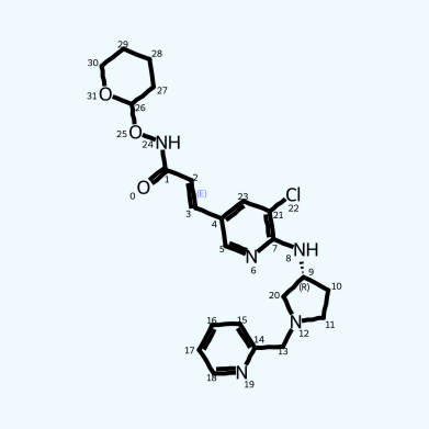 O=C(/C=C/c1cnc(N[C@@H]2CCN(Cc3ccccn3)C2)c(Cl)c1)NOC1CCCCO1